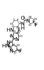 O=C(N[C@@H]1CCC[C@H](Nc2nc(-c3n[nH]c4ncc(F)cc34)ncc2F)C1)N1CCC(F)C1